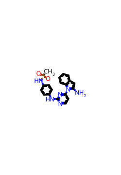 CS(=O)(=O)Nc1ccc(Nc2nccc(-n3c(N)cc4ccccc43)n2)cc1